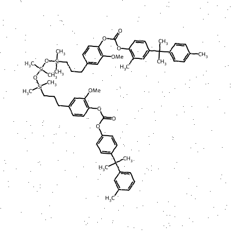 COc1cc(CCC[Si](C)(C)O[Si](C)(C)O[Si](C)(C)CCCc2ccc(OC(=O)Oc3ccc(C(C)(C)c4ccc(C)cc4)cc3C)c(OC)c2)ccc1OC(=O)Oc1ccc(C(C)(C)c2cccc(C)c2)cc1